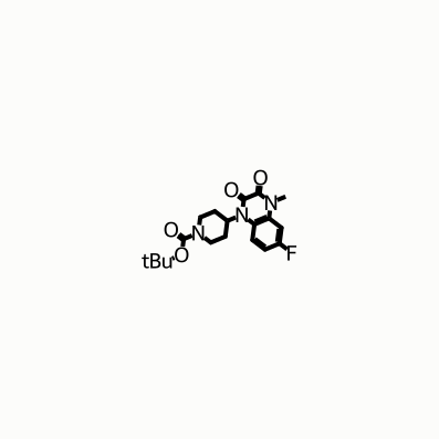 Cn1c(=O)c(=O)n(C2CCN(C(=O)OC(C)(C)C)CC2)c2ccc(F)cc21